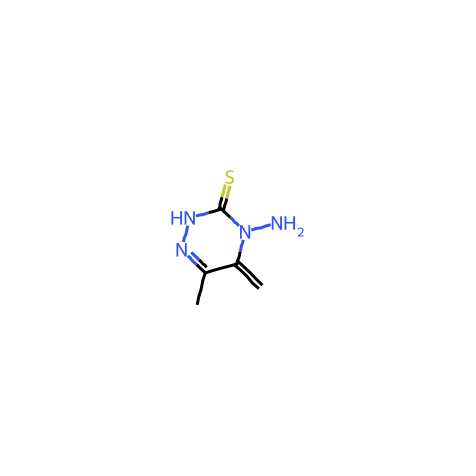 C=C1C(C)=NNC(=S)N1N